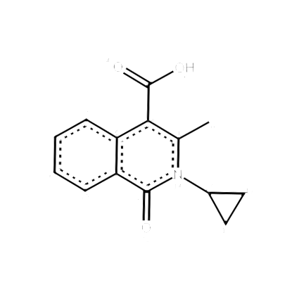 Cc1c(C(=O)O)c2ccccc2c(=O)n1C1CC1